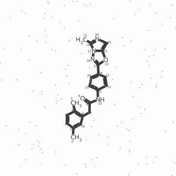 Cc1ccc(C)c(CC(=O)Nc2ccc(-c3nn4c(C)ncc4o3)cc2)c1